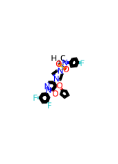 CN(c1ccc(F)cc1)S(=O)(=O)N1CCN(c2cnn(-c3cc(F)cc(F)c3)c(=O)c2OC2CCCC2)CC1